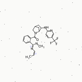 C=N/C(=N\C=C/C)c1ccccc1C(=O)N1CC2CC(Nc3ccc(C(F)(F)F)cn3)C1C2